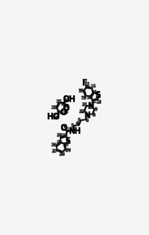 O=C(NCCCCN1CCN(c2csc3cc(F)ccc23)CC1)c1cc2ccccc2s1.O=C(O)/C=C\C(=O)O